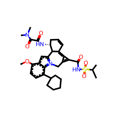 COc1ccc(C2CCCCC2)c2c1cc1n2CC2=C(C(=O)NS(=O)(=O)C(C)C)C2=C2C=CC[C@@H](NC(=O)C(=O)N(C)C)C21